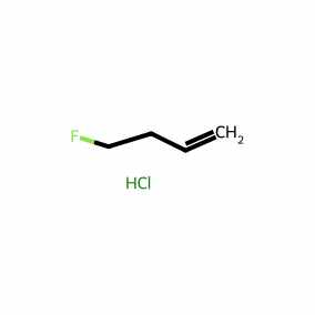 C=CCCF.Cl